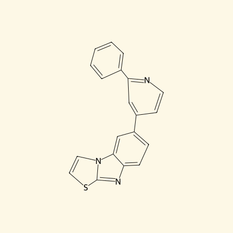 c1ccc(-c2cc(-c3ccc4nc5sccn5c4c3)ccn2)cc1